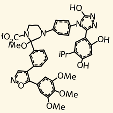 COc1cc(-c2oncc2-c2cccc(C3(OC)CN(c4ccc(-n5c(O)nnc5-c5cc(C(C)C)c(O)cc5O)cc4)CCN3C(=O)O)c2)cc(OC)c1OC